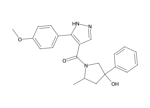 COc1ccc(-c2[nH]ncc2C(=O)N2CC(O)(c3ccccc3)CC2C)cc1